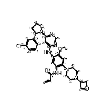 C=CC(=O)Nc1cc(Nc2cc(N3OCC[C@@H]3c3cccc(Cl)c3)ncn2)c(OC)cc1N1CCN(C2COC2)CC1